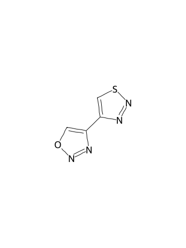 c1onnc1-c1csnn1